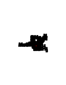 COc1ccc(C(O[C@@H](C)C2O[C@@H](n3ccc(-n4cncn4)nc3=O)[C@H](F)[C@@H]2O[Si](C)(C)C(C)(C)C)(c2ccccc2)c2ccc(OC)cc2)cc1